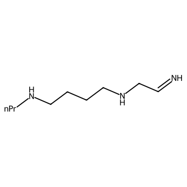 CCCNCCCCNCC=N